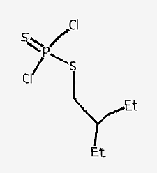 CCC(CC)CSP(=S)(Cl)Cl